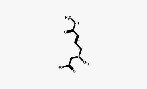 CNC(=O)/C=C/CN(C)CC(=O)O